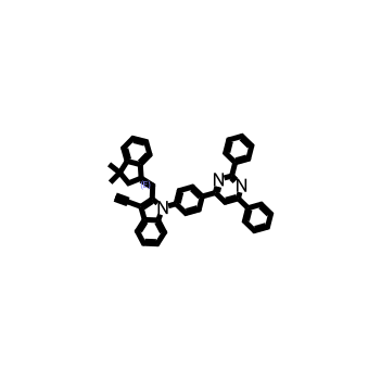 C#Cc1c(/C=C2\CC(C)(C)c3ccccc32)n(-c2ccc(-c3cc(-c4ccccc4)nc(-c4ccccc4)n3)cc2)c2ccccc12